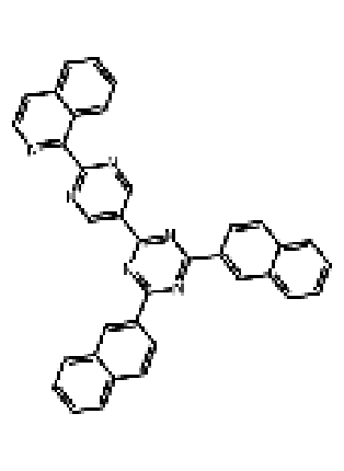 c1ccc2cc(-c3nc(-c4cnc(-c5nccc6ccccc56)nc4)nc(-c4ccc5ccccc5c4)n3)ccc2c1